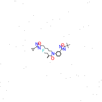 C=C(CCF)C(=O)N(CCCCCc1nc(C2CC2)no1)c1cccc(-c2noc(C(C)(C)C)n2)c1